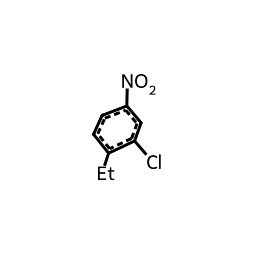 CCc1ccc([N+](=O)[O-])cc1Cl